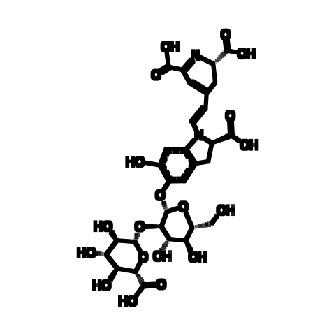 O=C(O)C1=N[C@H](C(=O)O)CC(/C=C/N2c3cc(O)c(O[C@@H]4O[C@H](CO)[C@@H](O)[C@H](O)[C@H]4O[C@@H]4O[C@H](C(=O)O)[C@@H](O)[C@H](O)[C@H]4O)cc3C[C@@H]2C(=O)O)=C1